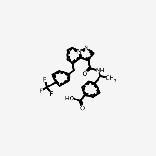 CC(NC(=O)c1cnn2cccc(Cc3ccc(C(F)(F)F)cc3)c12)c1ccc(C(=O)O)cc1